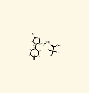 O=C(O)C(F)(F)F.OC[C@H]1C[C@@H](F)CN1C1CCNCC1